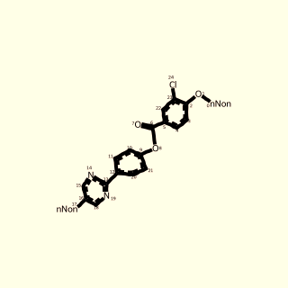 CCCCCCCCCOc1ccc(C(=O)Oc2ccc(-c3ncc(CCCCCCCCC)cn3)cc2)cc1Cl